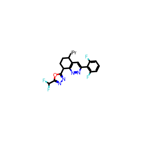 CC(C)C1CCC(c2nnc(C(F)F)o2)c2nnc(-c3c(F)cccc3F)cc21